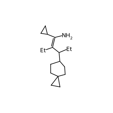 CC/C(=C(/N)C1CC1)C(CC)C1CCC2(CC1)CC2